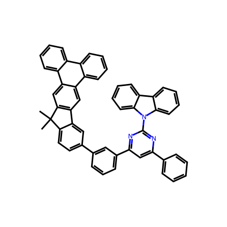 CC1(C)c2ccc(-c3cccc(-c4cc(-c5ccccc5)nc(-n5c6ccccc6c6ccccc65)n4)c3)cc2-c2cc3c4ccccc4c4ccccc4c3cc21